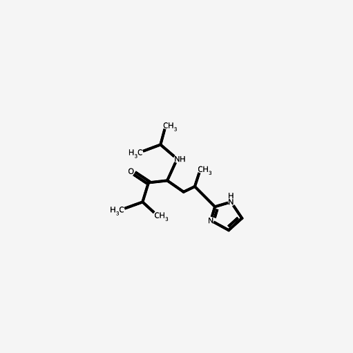 CC(C)NC(CC(C)c1ncc[nH]1)C(=O)C(C)C